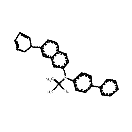 CC(C)(C)N(c1ccc(-c2ccccc2)cc1)c1ccc2ccc(C3C=CC=CC3)cc2c1